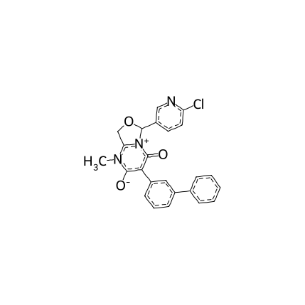 Cn1c([O-])c(-c2cccc(-c3ccccc3)c2)c(=O)[n+]2c1COC2c1ccc(Cl)nc1